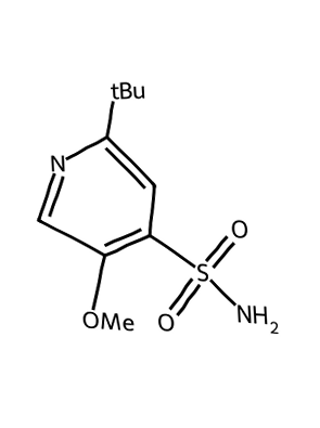 COc1cnc(C(C)(C)C)cc1S(N)(=O)=O